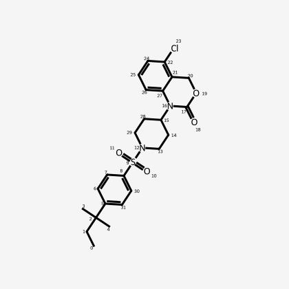 CCC(C)(C)c1ccc(S(=O)(=O)N2CCC(N3C(=O)OCc4c(Cl)cccc43)CC2)cc1